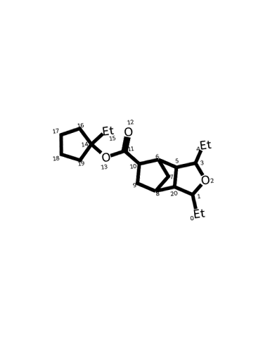 CCC1OC(CC)C2C3CC(CC3C(=O)OC3(CC)CCCC3)C12